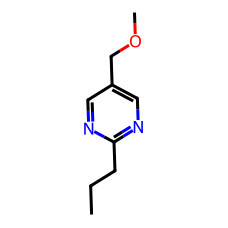 CCCc1ncc(COC)cn1